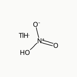 O=[N+]([O-])O.[TlH]